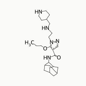 CCCOc1c(C(=O)NC2C3CC4CC(C3)CC2C4)cnn1CCNCC1CCNCC1